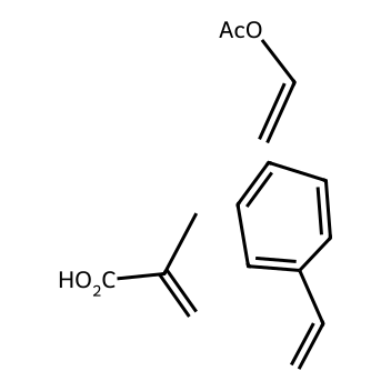 C=C(C)C(=O)O.C=COC(C)=O.C=Cc1ccccc1